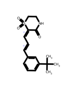 CC(C)(C)c1cccc(/C=C/C=C2\C(=O)NCCS2(=O)=O)c1